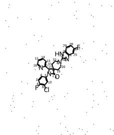 O=C1N(c2ccc(F)c(Cl)c2)C(c2ccccn2)C12CCN(c1nc3cc(F)ccc3[nH]1)CC2